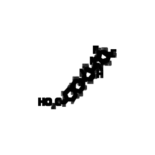 O=C(O)CC1CCC2(CC1)CCN(c1ccc(-c3nc4c(F)cc(F)cc4[nH]3)cn1)CC2